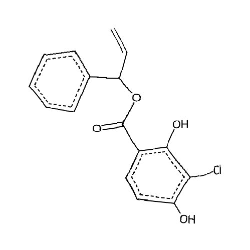 C=CC(OC(=O)c1ccc(O)c(Cl)c1O)c1ccccc1